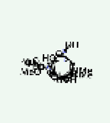 CO[C@H]1C[C@@H](C)C/C(C)=C/[C@@H](C/C=C/CO)C(=O)C[C@H](O)[C@@H](C)[C@@H](/C(C)=C/[C@@H]2CC[C@@H](OC(=O)N3CCN(C)CC3)[C@H](OC)C2)OC(=O)[C@@H]2CCCCN2C(=O)C(=O)[C@]2(O)O[C@H]1[C@@H](OC)C[C@H]2C